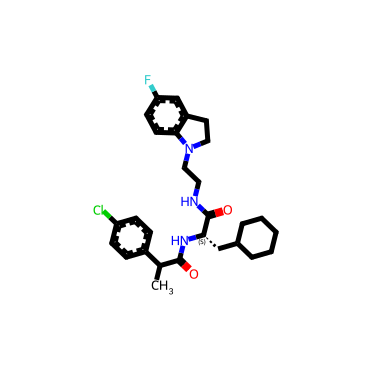 CC(C(=O)N[C@@H](CC1CCCCC1)C(=O)NCCN1CCc2cc(F)ccc21)c1ccc(Cl)cc1